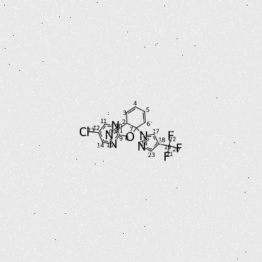 N#CC1C=CC=CC1(Oc1ncc(Cl)cn1)n1cc(C(F)(F)F)cn1